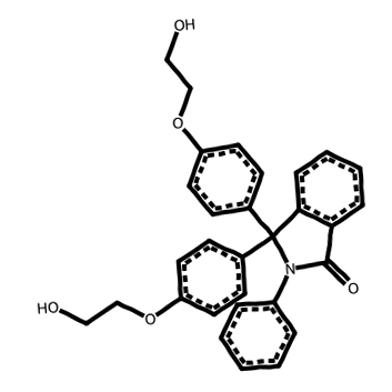 O=C1c2ccccc2C(c2ccc(OCCO)cc2)(c2ccc(OCCO)cc2)N1c1ccccc1